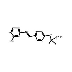 CCOC(=O)C(C)(C)Oc1ccc(/C=N/c2cccc(Cl)c2)cc1